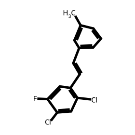 Cc1cccc(/C=C/c2cc(F)c(Cl)cc2Cl)c1